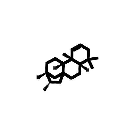 C[C@H]1CC23CC[C@@H]4C(C)(C)CC=C[C@@]4(C)[C@@H]2CC[C@H]1C3